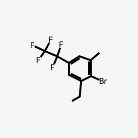 CCc1cc(C(F)(F)C(F)(F)F)cc(C)c1Br